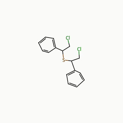 ClCC(SC(CCl)c1ccccc1)c1ccccc1